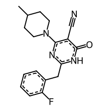 CC1CCN(c2nc(Cc3ccccc3F)[nH]c(=O)c2C#N)CC1